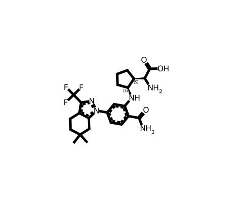 CC1(C)CCc2c(C(F)(F)F)nn(-c3ccc(C(N)=O)c(N[C@H]4CCC[C@H]4C(N)C(=O)O)c3)c2C1